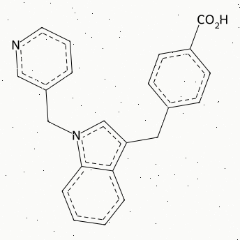 O=C(O)c1ccc(Cc2cn(Cc3cccnc3)c3ccccc23)cc1